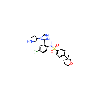 CC1(c2ccc(S(=O)(=O)Nc3ccc(Cl)cc3-c3nncn3C3CCNC3)cc2)CCCOC1